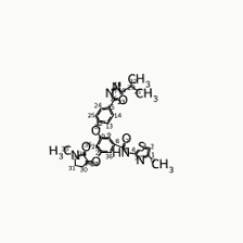 Cc1csc(NC(=O)c2cc(Oc3ccc(-c4nnc(C(C)C)o4)cc3)cc(O[C@@H]3CCN(C)C3=O)c2)n1